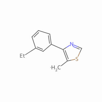 [CH2]c1scnc1-c1cccc(CC)c1